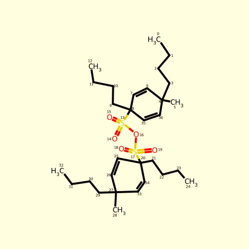 CCCCC1(C)C=CC(CCCC)(S(=O)(=O)OS(=O)(=O)C2(CCCC)C=CC(C)(CCCC)C=C2)C=C1